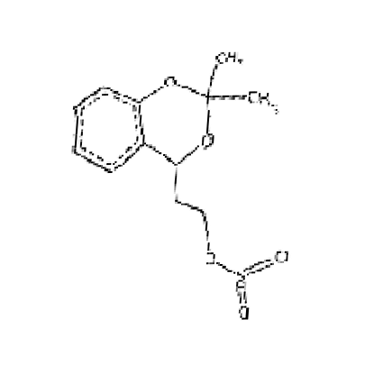 CC1(C)Oc2ccccc2C(CCO[SH](=O)=O)O1